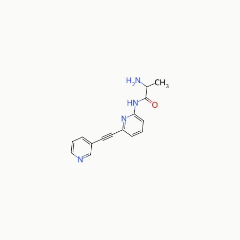 CC(N)C(=O)Nc1cccc(C#Cc2cccnc2)n1